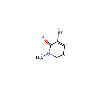 CC(C)C1=CCCN(C)C1=O